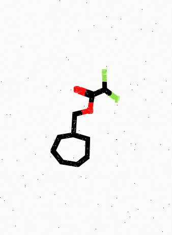 O=C(OCC1CCCCCC1)C(F)F